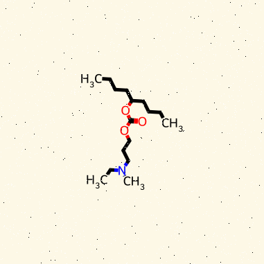 CCCCC(CCCC)OC(=O)OCCCN(C)CC